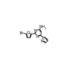 Nc1cc(-n2cccn2)nc(-c2ccc(Br)o2)n1